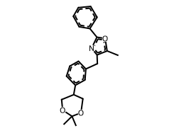 Cc1oc(-c2ccccc2)nc1Cc1cccc(C2COC(C)(C)OC2)c1